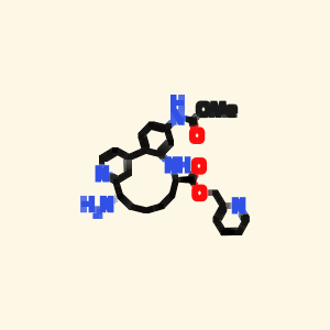 COC(=O)Nc1ccc2c(c1)N[C@@H](C(=O)OCc1ccccn1)CCCC[C@H](N)c1cc-2ccn1